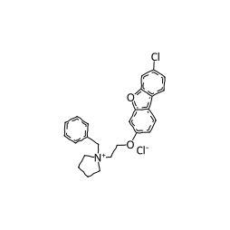 Clc1ccc2c(c1)oc1cc(OCC[N+]3(Cc4ccccc4)CCCC3)ccc12.[Cl-]